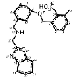 Cc1cccc(COc2cccc(CNCc3nc4ccccc4o3)c2)c1C(=O)O